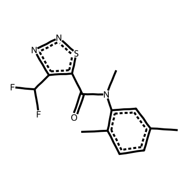 Cc1ccc(C)c(N(C)C(=O)c2snnc2C(F)F)c1